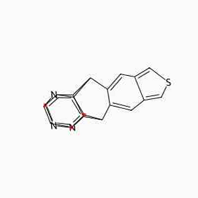 c1cc2c(cn1)C1c3cc4cscc4cc3C2c2nccnc21